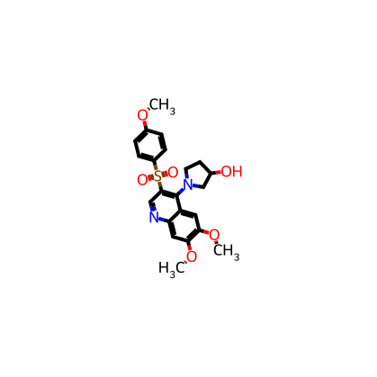 COc1ccc(S(=O)(=O)c2cnc3cc(OC)c(OC)cc3c2N2CCC(O)C2)cc1